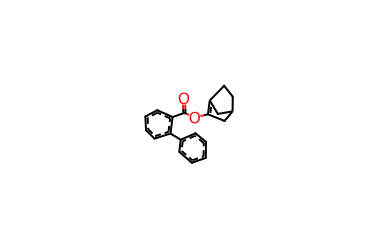 O=C(OC1=C2CCC(C2)C1)c1ccccc1-c1ccccc1